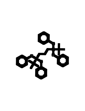 CC(C)(C)[Si](CCC[Si](Oc1ccccc1)(Oc1ccccc1)C(C)(C)C)(Oc1ccccc1)Oc1ccccc1